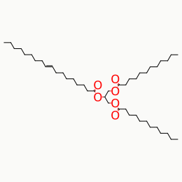 CCCCCCCCC=CCCCCCCCC(=O)OC(COC(=O)CCCCCCCCCCC)COC(=O)CCCCCCCCCCC